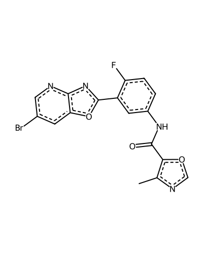 Cc1ncoc1C(=O)Nc1ccc(F)c(-c2nc3ncc(Br)cc3o2)c1